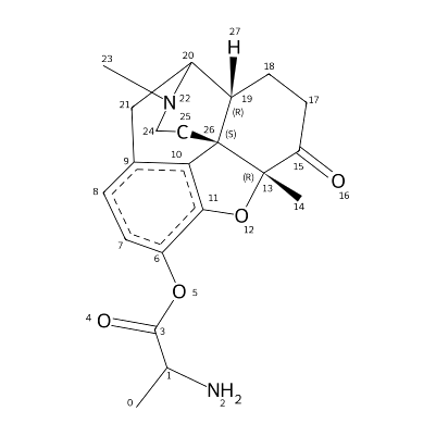 CC(N)C(=O)Oc1ccc2c3c1O[C@@]1(C)C(=O)CC[C@H]4C(C2)N(C)CC[C@@]341